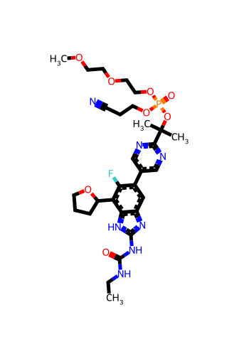 CCNC(=O)Nc1nc2cc(-c3cnc(C(C)(C)OP(=O)(OCCC#N)OCCOCCOC)nc3)c(F)c(C3CCCO3)c2[nH]1